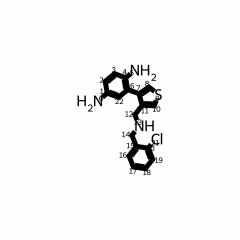 Nc1ccc(N)c(-c2cscc2CNCc2ccccc2Cl)c1